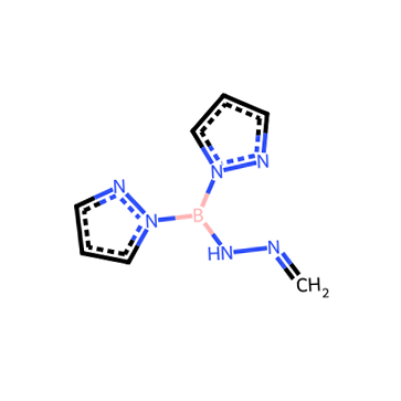 C=NNB(n1cccn1)n1cccn1